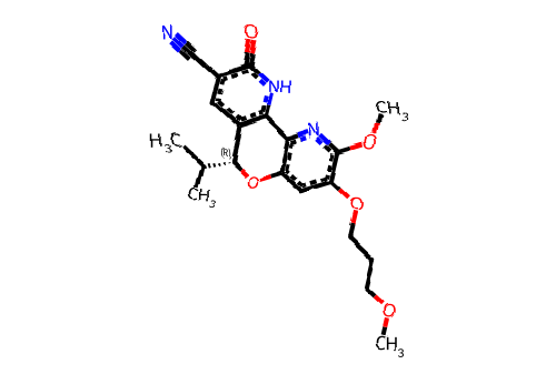 COCCCOc1cc2c(nc1OC)-c1[nH]c(=O)c(C#N)cc1[C@@H](C(C)C)O2